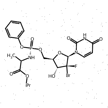 CC(C)OC(=O)C(C)N[P@](=O)(OC[C@H]1O[C@@H](n2ccc(=O)[nH]c2=O)[C@](F)(Br)[C@@H]1O)Oc1ccccc1